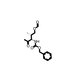 CC(=O)[C@@H](NC(=O)OCc1ccccc1)[C@H](C)COC=O